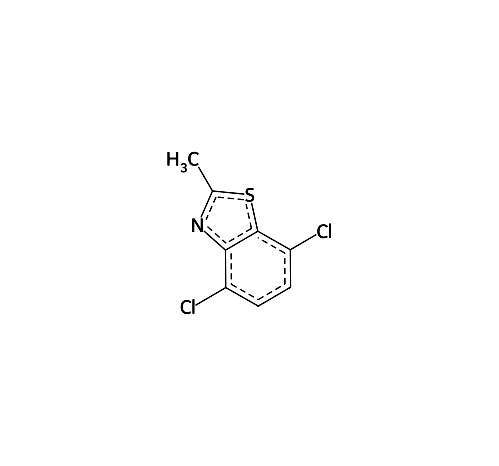 Cc1nc2c(Cl)ccc(Cl)c2s1